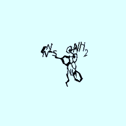 CCCCNc1cc(CSc2nccn2C)cc(S(N)(=O)=O)c1Oc1ccccc1